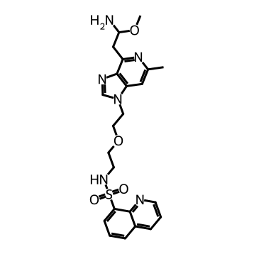 COC(N)Cc1nc(C)cc2c1ncn2CCOCCNS(=O)(=O)c1cccc2cccnc12